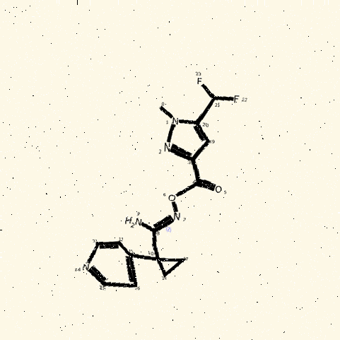 Cn1nc(C(=O)O/N=C(\N)C2(c3ccncc3)CC2)cc1C(F)F